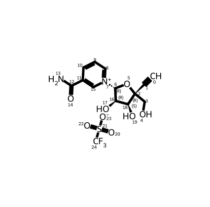 C#C[C@]1(CO)O[C@@H]([n+]2cccc(C(N)=O)c2)[C@H](O)[C@@H]1O.O=S(=O)([O-])C(F)(F)F